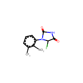 O=C1NC(=O)N(c2cccc(C(F)(F)F)c2[N+](=O)[O-])C1F